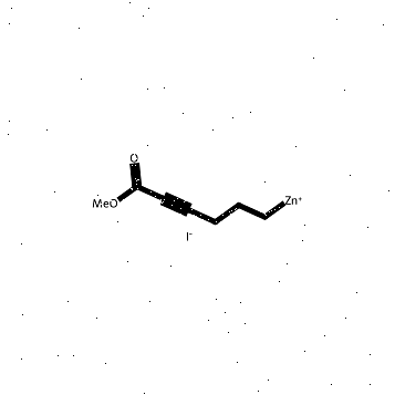 COC(=O)C#CCC[CH2][Zn+].[I-]